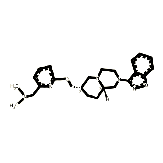 CN(C)Cc1cccc(OC[C@H]2CC[C@H]3CN(c4noc5ccccc45)CCN3C2)n1